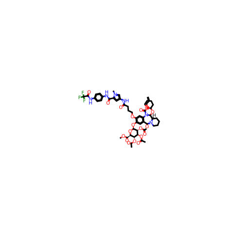 C=CCOC(=O)N1c2cc(OCCCC(=O)Nc3cc(C(=O)Nc4ccc(NC(=O)C(F)(F)F)cc4)n(C)c3)c(O[C@@H]3O[C@H](C(=O)OC)[C@@H](OC(C)=O)[C@H](OC(C)=O)[C@H]3OC(C)=O)cc2C(=O)N2CCCC[C@H]2C1OC1CCCCO1